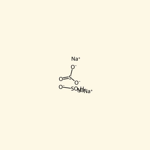 O=S(=O)([O-])O.O=S([O-])[O-].[Na+].[Na+].[Na+]